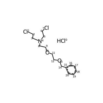 Cl.ClCCN(CCCl)CCOCCOCc1ccccc1